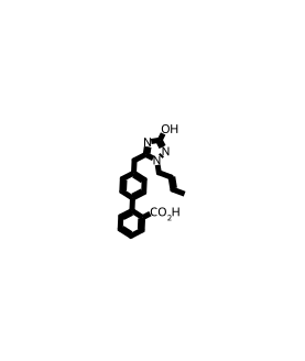 CC=CCn1nc(O)nc1Cc1ccc(-c2ccccc2C(=O)O)cc1